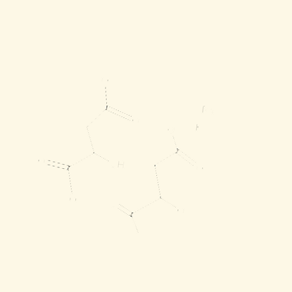 O=C([O-])CC(O)C(=O)[O-].O=C([O-])CC(O)C(=O)[O-].[K+].[Rh+3]